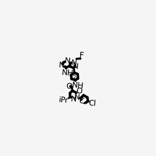 CC(C)c1cc(C(=O)Nc2ccc(-c3nn(CCF)c4ncnc(N)c34)cc2)c(=O)n(-c2ccc(Cl)cc2)n1